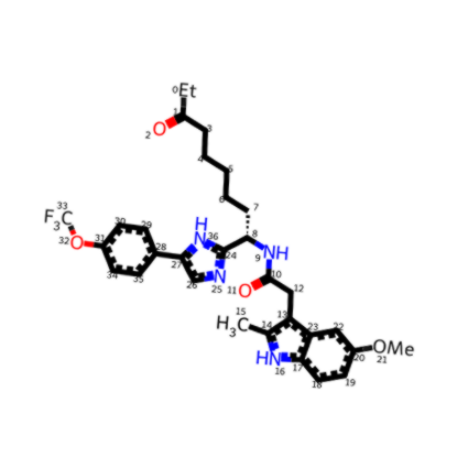 CCC(=O)CCCCC[C@H](NC(=O)Cc1c(C)[nH]c2ccc(OC)cc12)c1ncc(-c2ccc(OC(F)(F)F)cc2)[nH]1